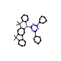 CC1(C)c2ccccc2-c2cc3c(cc21)C(C)(C)c1ccccc1N3c1nc(-c2ccccc2)nc(-c2ccccc2)n1